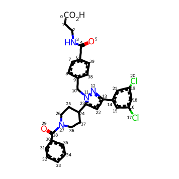 O=C(O)CCNC(=O)c1ccc(Cn2nc(-c3cc(Cl)cc(Cl)c3)cc2C2CCN(C(=O)c3ccccc3)CC2)cc1